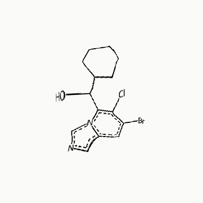 OC(c1c(Cl)c(Br)cc2cncn12)C1CCCCC1